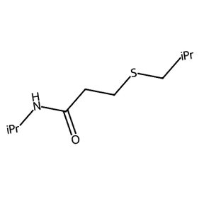 CC(C)CSCCC(=O)NC(C)C